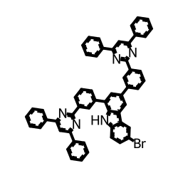 Brc1ccc2[nH]c3c(-c4cccc(-c5nc(-c6ccccc6)cc(-c6ccccc6)n5)c4)cc(-c4cccc(-c5nc(-c6ccccc6)cc(-c6ccccc6)n5)c4)cc3c2c1